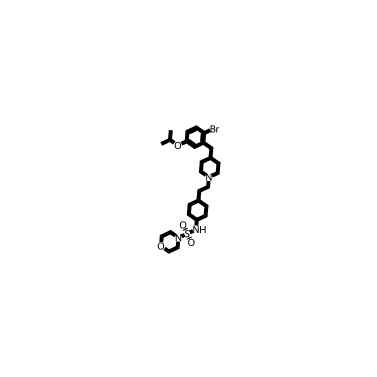 CC(C)Oc1ccc(Br)c(CC2CCN(CCC3CCC(NS(=O)(=O)N4CCOCC4)CC3)CC2)c1